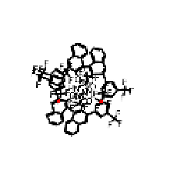 O=S(=O)(N=P1(NP2(=NS(=O)(=O)C(F)(F)F)Oc3c(-c4cc(C(F)(F)F)cc(C(F)(F)F)c4)cc4ccccc4c3-c3c(c(-c4cc(C(F)(F)F)cc(C(F)(F)F)c4)cc4ccccc34)O2)Oc2c(-c3cc(C(F)(F)F)cc(C(F)(F)F)c3)cc3ccccc3c2-c2c(c(-c3cc(C(F)(F)F)cc(C(F)(F)F)c3)cc3ccccc23)O1)C(F)(F)F